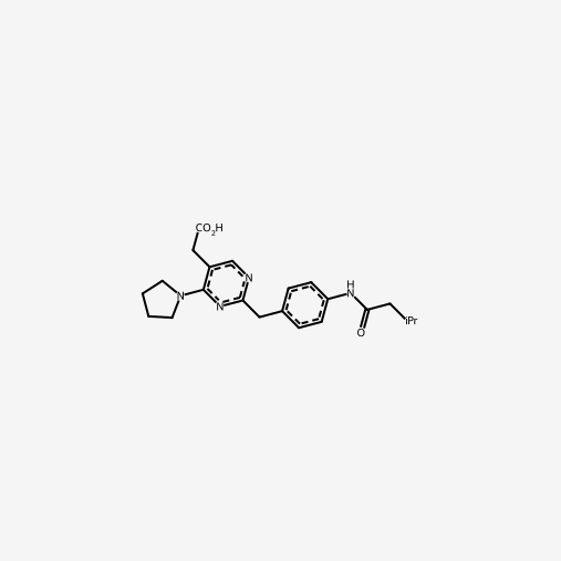 CC(C)CC(=O)Nc1ccc(Cc2ncc(CC(=O)O)c(N3CCCC3)n2)cc1